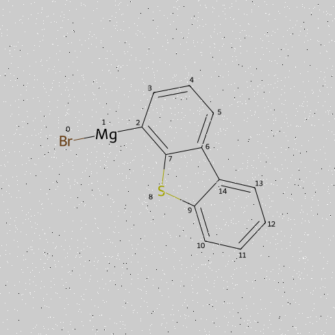 [Br][Mg][c]1cccc2c1sc1ccccc12